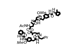 COc1cc(CC(=O)NC(CC(C)C)C2=NCC(CC(C)C(=O)OC(=O)C(CC3CN=C(C(CC(C)C)NC(=O)Cc4ccc(NC(=O)Nc5ccccc5C)c(OC)c4)O3)NC(C)=O)O2)ccc1NC(=O)Nc1ccccc1C